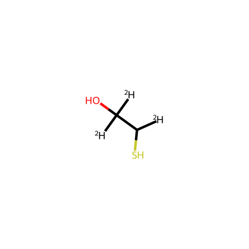 [2H]C(S)C([2H])([2H])O